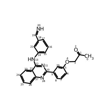 CC(=O)COc1cccc(-c2nc(Nc3cccc(C=N)c3)c3ccccc3n2)c1